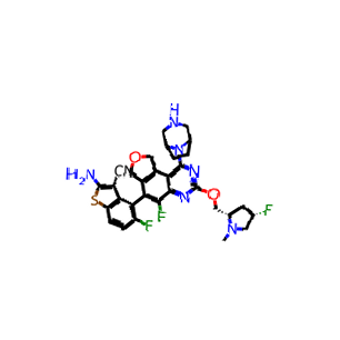 CN1C[C@@H](F)C[C@H]1COc1nc(N2C3CCC2CNC3)c2c3c(c(-c4c(F)ccc5sc(N)c(C#N)c45)c(F)c2n1)COC3